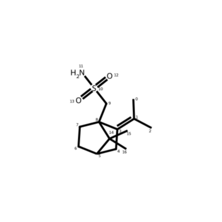 CC(C)=C1CC2CCC1(CS(N)(=O)=O)C2(C)C